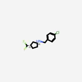 FC(F)[C@H]1CC[C@@H](NCc2ccc(Cl)cc2)C1